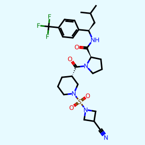 CC(C)C[C@@H](NC(=O)[C@H]1CCCN1C(=O)[C@H]1CCCN(S(=O)(=O)N2CC(C#N)C2)C1)c1ccc(C(F)(F)F)cc1